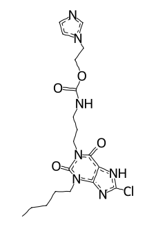 CCCCCn1c(=O)n(CCCNC(=O)OCCn2ccnc2)c(=O)c2[nH]c(Cl)nc21